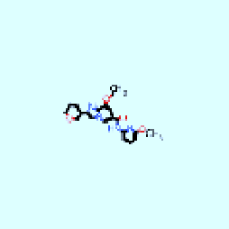 CCOc1cc(C(=O)Nc2cccc(OC)n2)cn2cc(C3CCCOC3)nc12